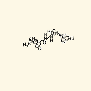 CCN(CCNc1ccnc2cc(Cl)ccc12)CC(=O)NCCNC(=O)Cc1cc(=O)oc2cc(N(C)C)ccc12